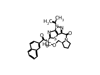 C=C(C)n1nc(C(=O)N2CCC[C@H]2COC)c2sc(NC(=O)c3ccc4ccccc4c3)nc21